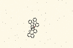 c1ccc2c(c1)-c1ccccc1C21c2ccccc2-c2cccc(-c3ccc4oc5cccc6cccc(c7cccc3c47)c65)c21